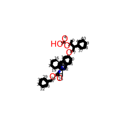 CC(OC(=O)O)C(COc1ccc2c(c1)[C@@]13CCCC[C@H]1[C@@H](C2)N(C(=O)OCc1ccccc1)CC3)c1ccccc1